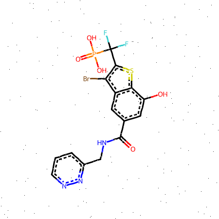 O=C(NCc1cccnn1)c1cc(O)c2sc(C(F)(F)P(=O)(O)O)c(Br)c2c1